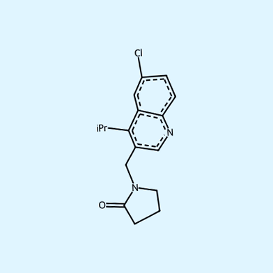 CC(C)c1c(CN2CCCC2=O)cnc2ccc(Cl)cc12